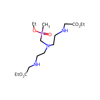 CCOC(=O)CNCCN(CCNCC(=O)OCC)CP(C)(=O)OCC